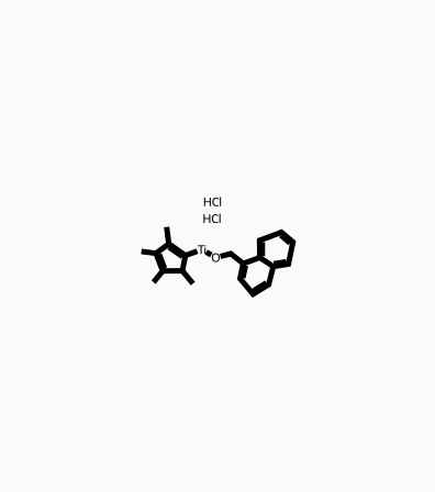 CC1=C(C)C(C)[C]([Ti][O]Cc2cccc3ccccc23)=C1C.Cl.Cl